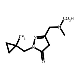 CN(CC1=NN(CC2(C(F)(F)F)CC2)C(=O)C1)C(=O)O